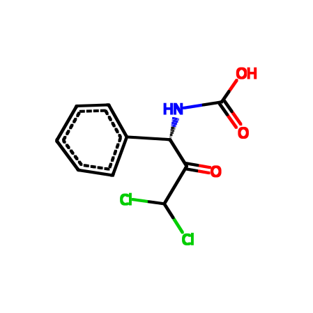 O=C(O)N[C@H](C(=O)C(Cl)Cl)c1ccccc1